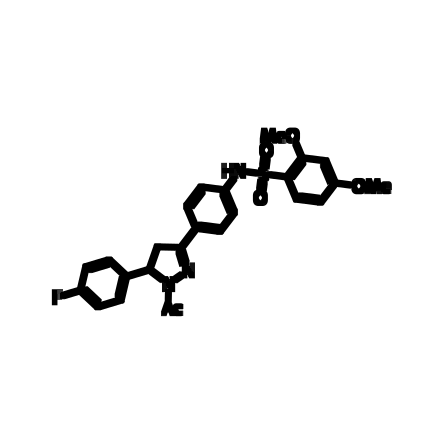 COc1ccc(S(=O)(=O)Nc2ccc(C3=NN(C(C)=O)C(c4ccc(F)cc4)C3)cc2)c(OC)c1